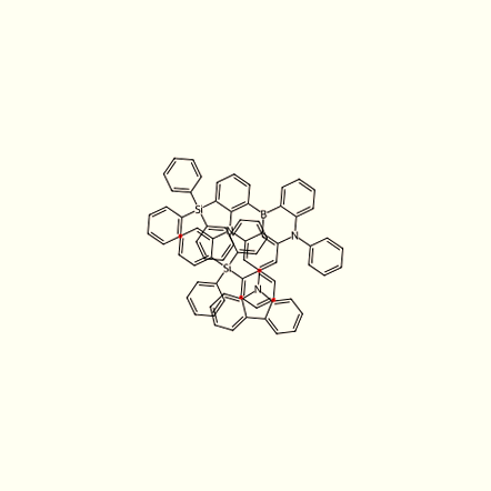 c1ccc(N2c3ccccc3B3c4cccc([Si](c5ccccc5)(c5ccccc5)c5ccccc5)c4N(c4ccccc4[Si](c4ccccc4)(c4ccccc4)c4ccccc4)c4cc(-n5c6ccccc6c6ccccc65)cc2c43)cc1